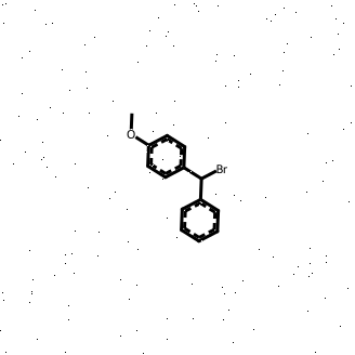 COc1ccc(C(Br)c2ccccc2)cc1